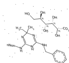 CCCCCCCCCNC1=NC(C)(C)N=C(NCc2ccccc2)N1.O=C(O)[C@H](O)[C@@H](O)[C@H](O)[C@H](O)CO